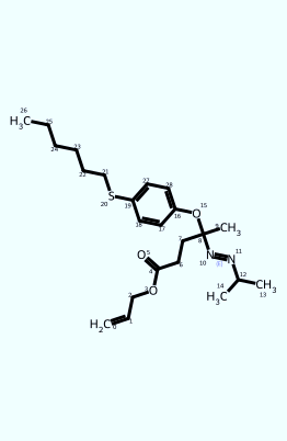 C=CCOC(=O)CCC(C)(/N=N/C(C)C)Oc1ccc(SCCCCCC)cc1